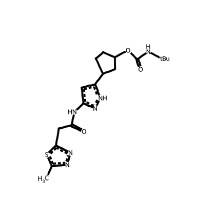 Cc1nnc(CC(=O)Nc2cc(C3CCC(OC(=O)NC(C)(C)C)C3)[nH]n2)s1